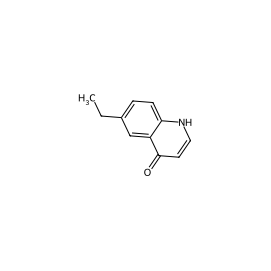 CCc1ccc2[nH]ccc(=O)c2c1